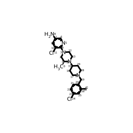 C[C@H]1CN(c2ncc(N)cc2Cl)CCN1C1CCN(Cc2ccc(Cl)cc2F)CC1